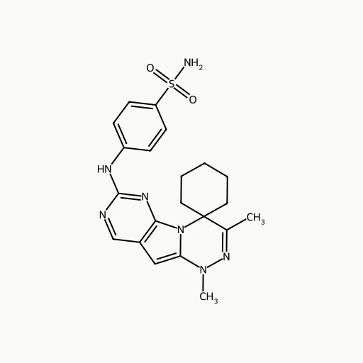 CC1=NN(C)c2cc3cnc(Nc4ccc(S(N)(=O)=O)cc4)nc3n2C12CCCCC2